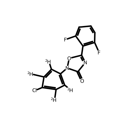 [2H]c1c([2H])c(-n2oc(-c3c(F)cccc3F)nc2=O)c([2H])c([2H])c1Cl